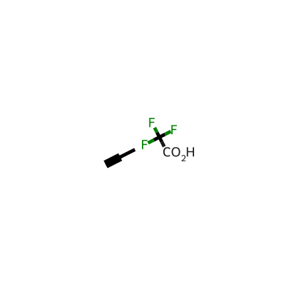 C#CC.O=C(O)C(F)(F)F